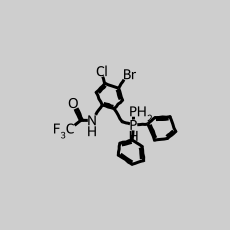 O=C(Nc1cc(Cl)c(Br)cc1C[PH](P)(c1ccccc1)c1ccccc1)C(F)(F)F